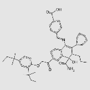 CCCC1C(c2ccccc2)=C(N=Nc2ccc(C(=O)O)cc2)c2ccc(C(=O)COc3ccc(C(C)(C)CC)cc3C(C)(C)CC)cc2C1(O)C(N)=O